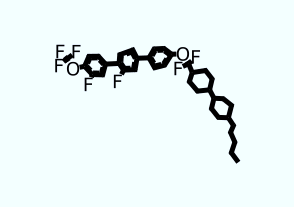 CCCCCC1CCC(C2CCC(C(F)(F)Oc3ccc(-c4ccc(-c5ccc(OC(F)(F)F)c(F)c5)c(F)c4)cc3)CC2)CC1